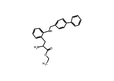 CCOC(=O)C(N)Cc1ccccc1NCc1ccc(-c2ccccc2)cc1